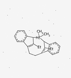 CCC1=C2CCC3=C(CC)[CH](c4ccccc43)[Hf]([CH3])([CH3])[CH]1c1ccccc12